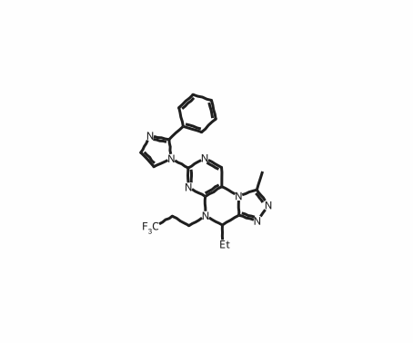 CCC1c2nnc(C)n2-c2cnc(-n3ccnc3-c3ccccc3)nc2N1CCC(F)(F)F